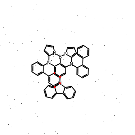 c1ccc(-c2ccccc2N2c3cc(-n4c5ccccc5c5ccccc54)cc4c3B(n3cccc32)n2cccc2N4c2ccccc2-c2ccccc2)cc1